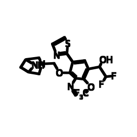 C=Nc1c(OCN2CC3CC(C2)N3)c(-c2nccs2)cc(C(O)C(F)F)c1OC(F)(F)F